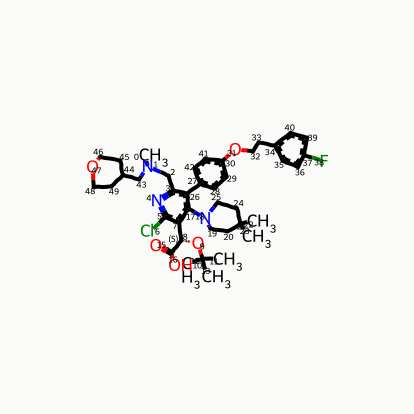 CN(Cc1nc(Cl)c([C@H](OC(C)(C)C)C(=O)O)c(N2CCC(C)(C)CC2)c1-c1ccc(OCCc2ccc(F)cc2)cc1)CC1CCOCC1